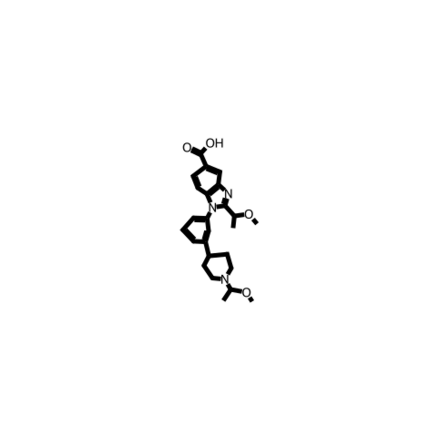 COC(C)c1nc2cc(C(=O)O)ccc2n1-c1cccc(C2CCN(C(C)OC)CC2)c1